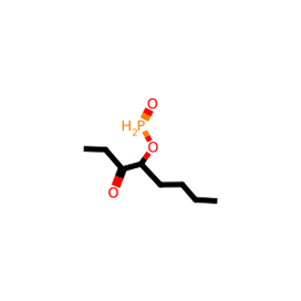 CCCCC(O[PH2]=O)C(=O)CC